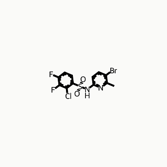 Cc1nc(NS(=O)(=O)c2ccc(F)c(F)c2Cl)ccc1Br